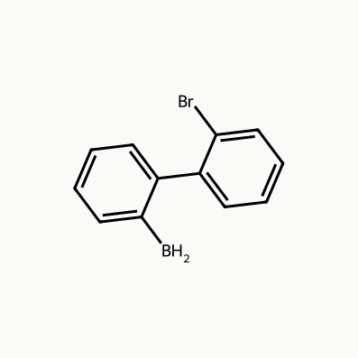 Bc1ccccc1-c1ccccc1Br